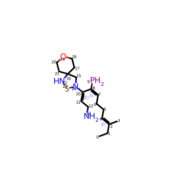 CC/C(C)=C/CC/C=C(P)\C(=C/CN)N1CC2(CCOCC2)NS1